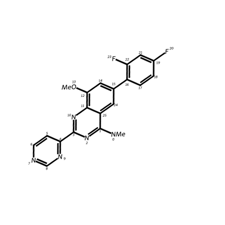 CNc1nc(-c2ccncn2)nc2c(OC)cc(-c3ccc(F)cc3F)cc12